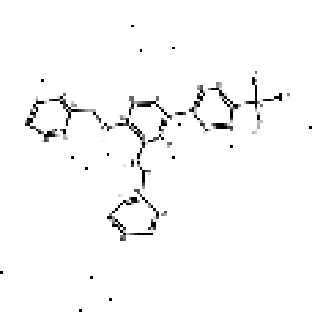 FC(F)(F)c1ccc(-c2ccc(OCc3ccccc3)c(OCc3ccccc3)n2)cc1